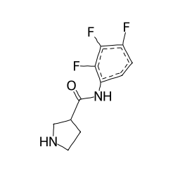 O=C(Nc1ccc(F)c(F)c1F)C1CCNC1